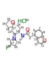 CN(C(=O)Cc1cccc2occc12)[C@H]1CC[C@@]2(CCCO2)C[C@@H]1N1CC[C@@H](F)C1.Cl